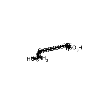 CC(O)CC(C)CNC(=O)C1=Cc2sc(CC3CN(C(=O)CCOCCOCCOCCOCCOCCOCCOCCOCCOCCOCCC(=O)Oc4c(F)c(F)c(S(=O)(=O)O)c(F)c4F)C3)cc2N=C(N)C1